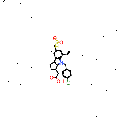 C=Cc1cc(C[SH](=O)=O)cc2c3c(n(Cc4ccc(Cl)cc4)c12)C(CC(=O)O)CC3